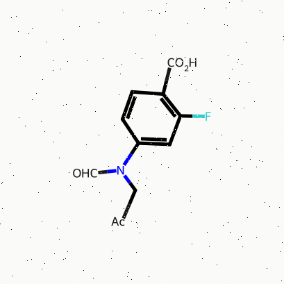 CC(=O)CN(C=O)c1ccc(C(=O)O)c(F)c1